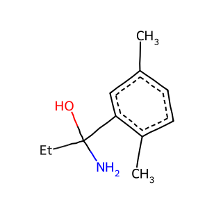 CCC(N)(O)c1cc(C)ccc1C